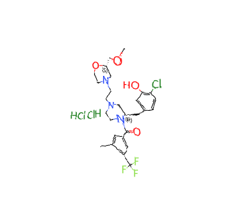 COC[C@@H]1CN(CCN2CCN(C(=O)c3cc(C)cc(C(F)(F)F)c3)[C@H](Cc3ccc(Cl)c(O)c3)C2)CCO1.Cl.Cl